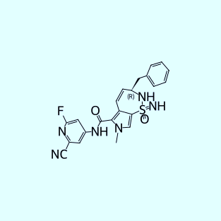 Cn1cc2c(c1C(=O)Nc1cc(F)nc(C#N)c1)C=C[C@@H](Cc1ccccc1)NS2(=N)=O